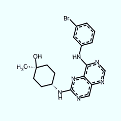 C[C@]1(O)CC[C@H](Nc2ncc3ncnc(Nc4cccc(Br)c4)c3n2)CC1